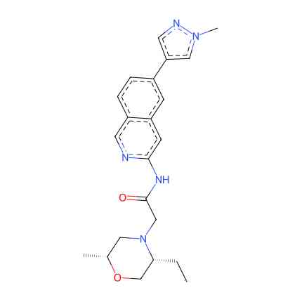 CC[C@@H]1CO[C@H](C)CN1CC(=O)Nc1cc2cc(-c3cnn(C)c3)ccc2cn1